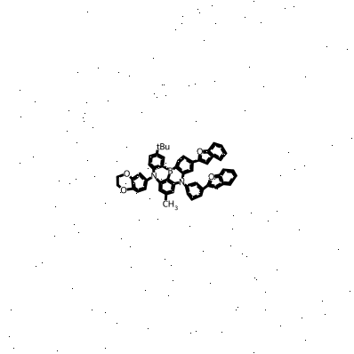 Cc1cc2c3c(c1)N(c1cccc(-c4cc5ccccc5o4)c1)c1cc(-c4cc5ccccc5o4)ccc1B3c1cc(C(C)(C)C)ccc1N2c1ccc2c(c1)OCCO2